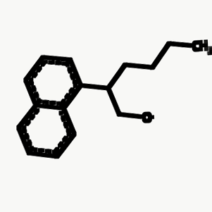 CCCCC(C[O])c1cccc2ccccc12